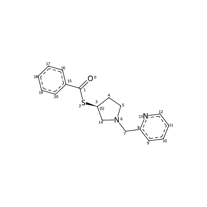 O=C(S[C@H]1CCN(Cc2ccccn2)C1)c1ccccc1